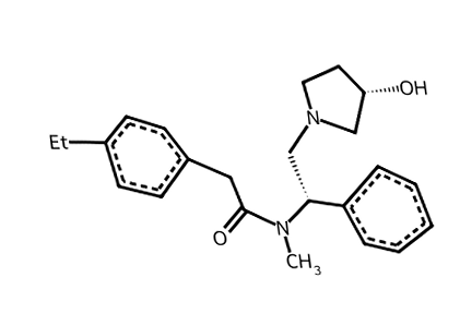 CCc1ccc(CC(=O)N(C)[C@H](CN2CC[C@H](O)C2)c2ccccc2)cc1